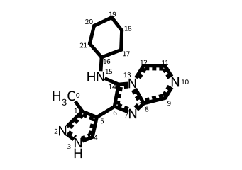 Cc1n[nH]cc1-c1nc2cnccn2c1NC1CCCCC1